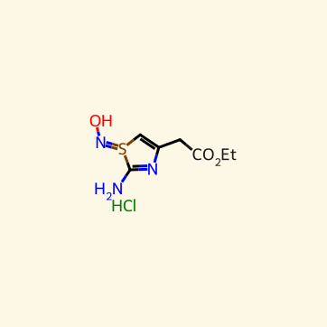 CCOC(=O)CC1=CS(=NO)C(N)=N1.Cl